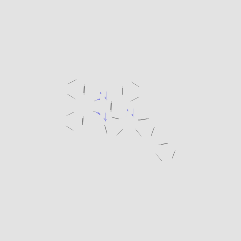 c1ccc(-c2ccc3c(c2)c2ccccc2n3-c2ccccc2-c2cnc3c4ccccc4c4ccccc4c3n2)cc1